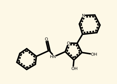 O=C(Nc1oc(-c2cccnc2)c(O)c1O)c1ccccc1